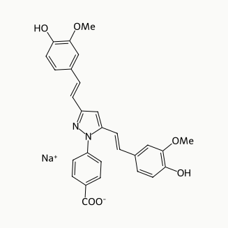 COc1cc(C=Cc2cc(C=Cc3ccc(O)c(OC)c3)n(-c3ccc(C(=O)[O-])cc3)n2)ccc1O.[Na+]